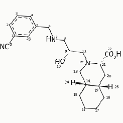 N#Cc1cccc(CNC[C@@H](O)CN2C[C@H]3CCCC[C@H]3C[C@H]2C(=O)O)c1